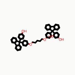 Oc1ccc(C2(c3ccc(OCCCCCOc4ccc(C5(c6ccc(O)cc6O)c6ccccc6-c6ccccc65)cc4)cc3)c3ccccc3-c3ccccc32)cc1